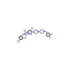 O=C(NCc1ccc(Cl)cc1Cl)c1cnc(N2CCN(C3CCN(Cc4ccc(F)c(F)c4)CC3)CC2)c(Cl)c1